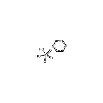 [O]=[Ru](=[O])(=[O])([OH])[OH].c1cnccn1